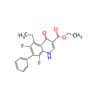 CCOC(=O)c1c[nH]c2c(F)c(-c3ccccc3)c(F)c(CC)c2c1=O